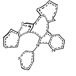 c1cncc(-n2c3ncccc3c3c4ccccc4c4oc5ccccc5c4c32)c1